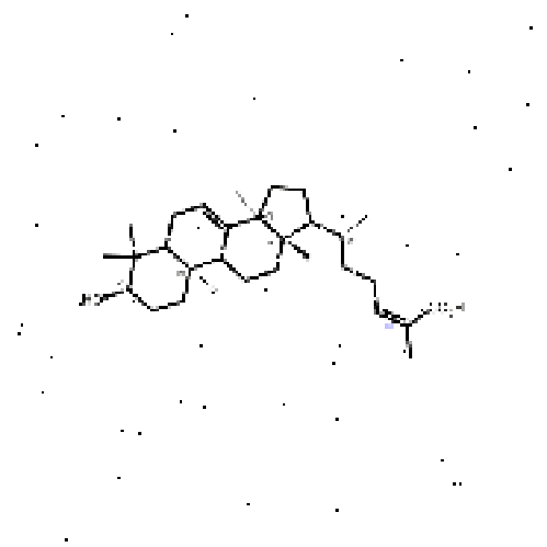 C/C(=C/CC[C@@H](C)C1CC[C@]2(C)C3=CCC4C(C)(C)[C@H](O)CC[C@]4(C)C3CC[C@@]12C)C(=O)O